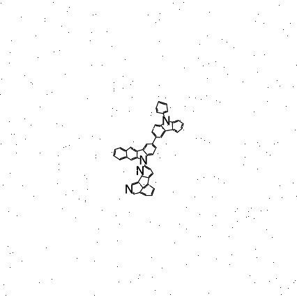 c1ccc(-n2c3ccccc3c3cc(-c4ccc5c(c4)c4cc6ccccc6cc4n5-c4ccc5c(n4)-c4cncc6cccc-5c46)ccc32)cc1